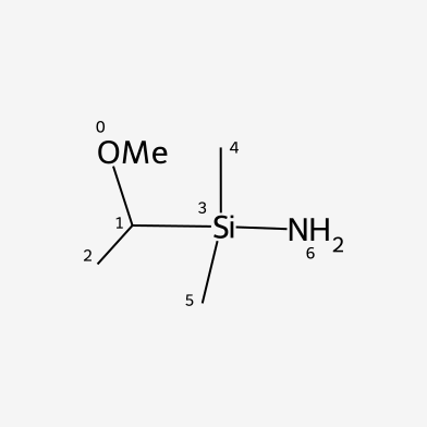 COC(C)[Si](C)(C)N